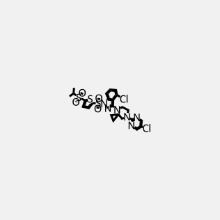 CC(C)S(=O)(=O)c1ccc(S(=O)(=O)n2nc(N3CCN(c4ncc(Cl)cn4)CC34CC4)c3c(Cl)cccc32)s1